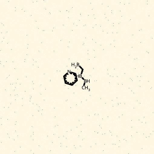 BCBBC.c1ccncc1